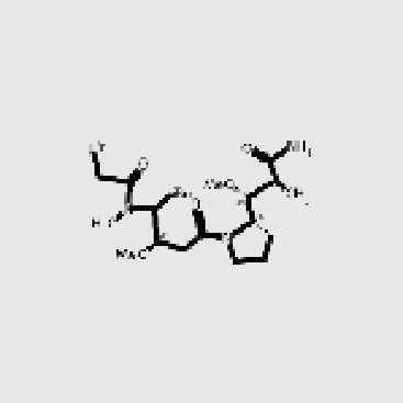 CCC(C)C([C@@H](CC(=O)N1CCC[C@H]1[C@H](OC)C(C)C(N)=O)OC)N(C)C(=O)CC(C)C